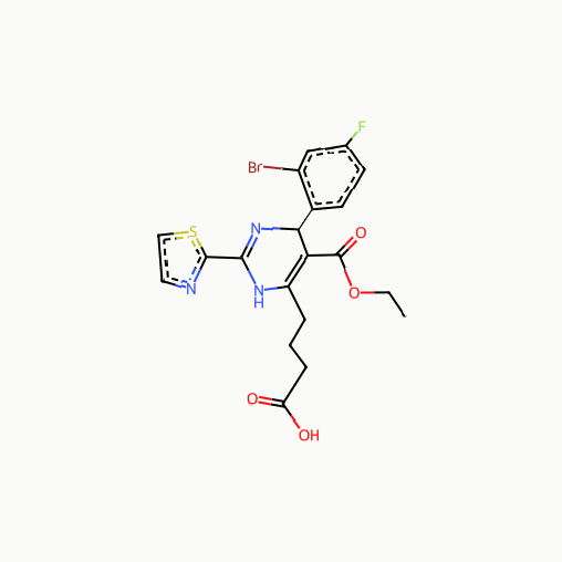 CCOC(=O)C1=C(CCCC(=O)O)NC(c2nccs2)=NC1c1ccc(F)cc1Br